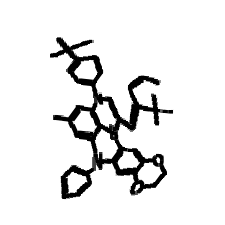 C/C=C\C(=C/C1=CN(c2ccc(C(C)(C)C)cc2)c2cc(C)cc3c2B1c1cc2c(cc1N3c1ccccc1)OCCO2)C(C)(C)C